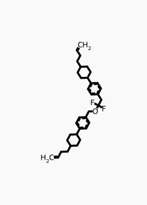 C=CCCC1CCC(c2ccc(COC(F)(F)Cc3ccc(C4CCC(CCC=C)CC4)cc3)cc2)CC1